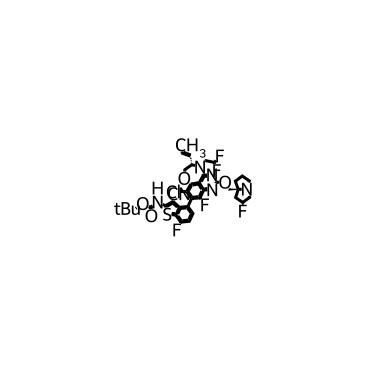 C/C=C/[C@H]1COc2c(Cl)c(-c3ccc(F)c4sc(NC(=O)OC(C)(C)C)c(C#N)c34)c(F)c3nc(OC[C@@]45CCCN4C[C@H](F)C5)nc(c23)N1CC(F)F